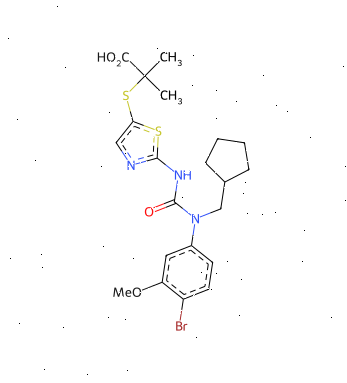 COc1cc(N(CC2CCCC2)C(=O)Nc2ncc(SC(C)(C)C(=O)O)s2)ccc1Br